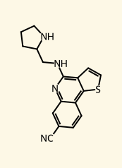 N#Cc1ccc2c(c1)nc(NCC1CCCN1)c1ccsc12